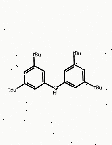 CC(C)(C)c1cc([SiH]c2cc(C(C)(C)C)cc(C(C)(C)C)c2)cc(C(C)(C)C)c1